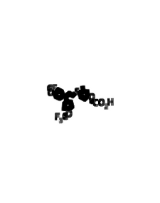 Cc1cc(OCC(=O)O)ccc1SCC=C(c1ccc(OC(F)(F)F)cc1)c1ccc(OC(F)(F)F)cc1